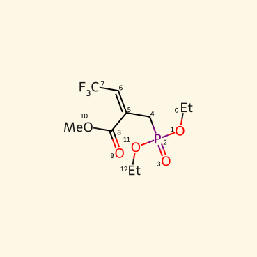 CCOP(=O)(CC(=CC(F)(F)F)C(=O)OC)OCC